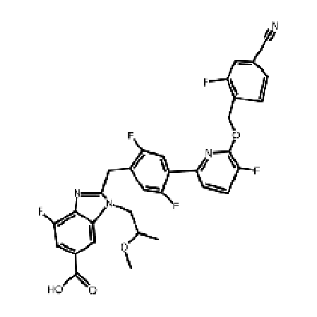 COC(C)Cn1c(Cc2cc(F)c(-c3ccc(F)c(OCc4ccc(C#N)cc4F)n3)cc2F)nc2c(F)cc(C(=O)O)cc21